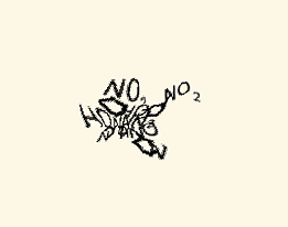 NC(=O)N(c1ccncc1)c1ccc([N+](=O)[O-])cc1O.O=C(Nc1cccnc1)Nc1ccc([N+](=O)[O-])cc1O